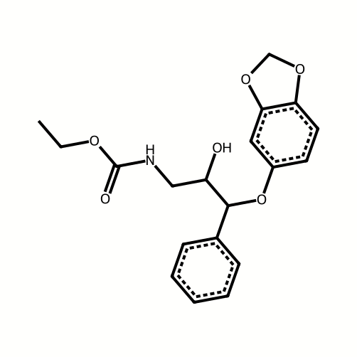 CCOC(=O)NCC(O)C(Oc1ccc2c(c1)OCO2)c1ccccc1